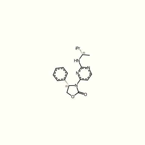 CC(C)[C@H](C)Nc1nccc(N2C(=O)OC[C@@H]2c2ccccc2)n1